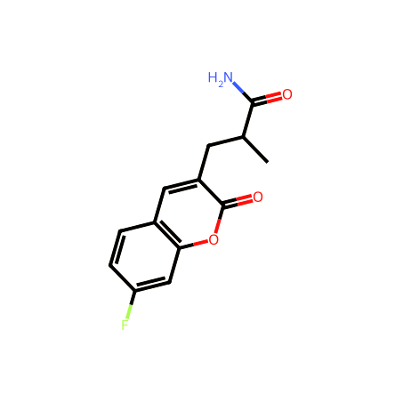 CC(Cc1cc2ccc(F)cc2oc1=O)C(N)=O